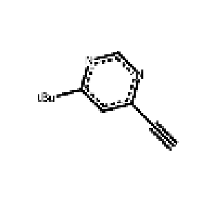 C#Cc1cc(C(C)(C)C)ncn1